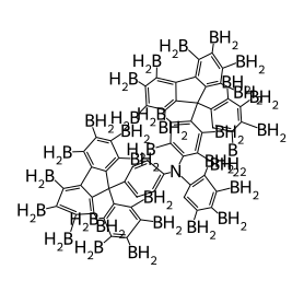 Bc1cc(N(c2ccc(C3(c4c(B)c(B)c(B)c(B)c4B)c4c(B)c(B)c(B)c(B)c4-c4c(B)c(B)c(B)c(B)c43)cc2)c2c(B)c(B)c(C3(c4cc(B)c(B)c(B)c4B)c4c(B)c(B)c(B)c(B)c4-c4c(B)c(B)c(B)c(B)c43)c(B)c2B)c(B)c(B)c1B